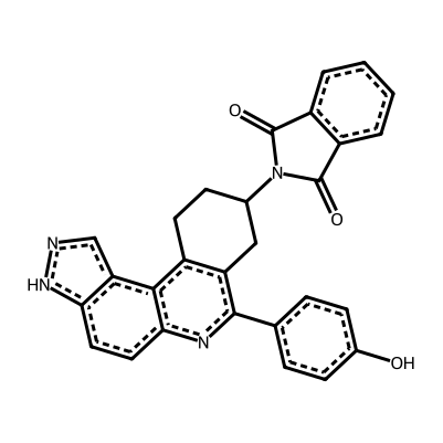 O=C1c2ccccc2C(=O)N1C1CCc2c(c(-c3ccc(O)cc3)nc3ccc4[nH]ncc4c23)C1